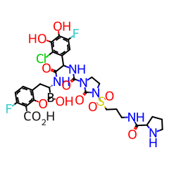 O=C(O)c1c(F)ccc2c1OB(O)[C@@H](NC(=O)C(NC(=O)N1CCN(S(=O)(=O)CCCNC(=O)C3CCCN3)C1=O)c1cc(F)c(O)c(O)c1Cl)C2